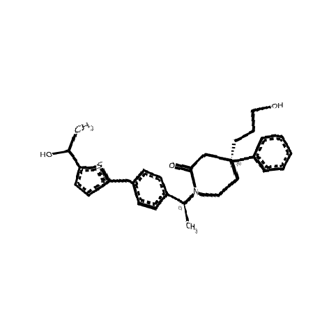 CC(O)c1ccc(-c2ccc([C@H](C)N3CC[C@](CCCO)(c4ccccc4)CC3=O)cc2)s1